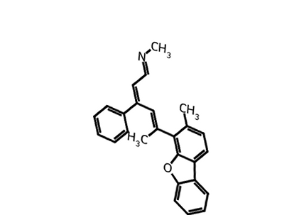 C/N=C/C=C(\C=C(/C)c1c(C)ccc2c1oc1ccccc12)c1ccccc1